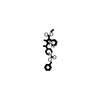 CCOC(=O)c1c(C)c(C(C)C2CCN(C(=O)OCc3ccccc3)CC2)n2ncccc12